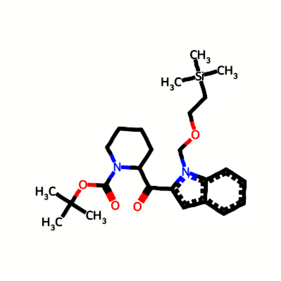 CC(C)(C)OC(=O)N1CCCCC1C(=O)c1cc2ccccc2n1COCC[Si](C)(C)C